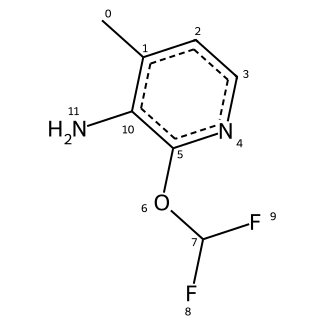 Cc1ccnc(OC(F)F)c1N